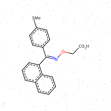 CSc1ccc(C(=NOCC(=O)O)c2cccc3ccccc23)cc1